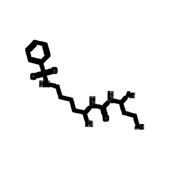 CCC(CCCCNS(=O)(=O)c1ccccc1)NC(=O)NC(CCC(C)=O)C(C)=O